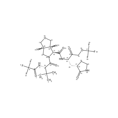 CC(C)(C)[C@H](NC(=O)C(F)(F)F)C(=O)N1C[C@@H]2COC[C@@H]2[C@H]1C(=O)N[C@@H](C[C@@H]1CCNC1=O)C(=O)COC(F)(F)F